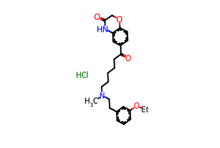 CCOc1cccc(CCN(C)CCCCCC(=O)c2ccc3c(c2)NC(=O)CO3)c1.Cl